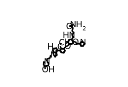 Cc1c(COc2cc(OCc3cccnc3)c(CNCCCC(N)=O)cc2Cl)cccc1-c1cccc2c1CCN2CCCN1CCC(O)CC1